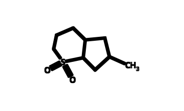 CC1CC2CCCS(=O)(=O)C2C1